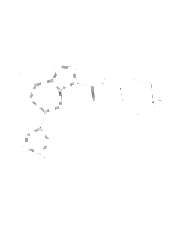 Cn1cc(-c2cc(Cl)c3[nH]nc(C(=O)NC4CCC(F)(F)CC4)c3c2)cn1